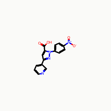 O=C(O)c1cc(-c2cccnc2)nn1-c1ccc([N+](=O)[O-])cc1